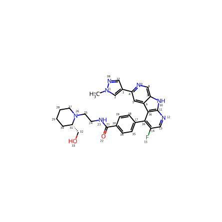 Cn1cc(-c2cc3c(cn2)[nH]c2ncc(F)c(-c4ccc(C(=O)NCCN5CCCC[C@H]5CO)cc4)c23)cn1